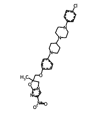 CC1(COc2ccc(N3CCC(N4CCN(c5ccc(Cl)cc5)CC4)CC3)cc2)Cn2cc([N+](=O)[O-])nc2O1